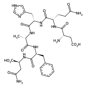 C[C@H](NC(=O)[C@H](Cc1c[nH]cn1)NC(=O)[C@H](CCC(N)=O)NC(=O)[C@@H](N)CC(=O)O)C(=O)N[C@@H](Cc1ccccc1)C(=O)N[C@@H](CC(N)=O)C(=O)O